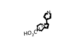 O=C(O)N1CCn2c(ccc2-c2ccncc2)C1